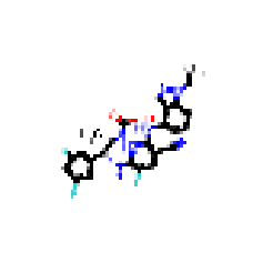 CCn1ncc2c(Nc3nc(N[C@H](c4cc(F)cc(F)c4)[C@H](C)NC(=O)O)c(F)cc3C#N)cccc21